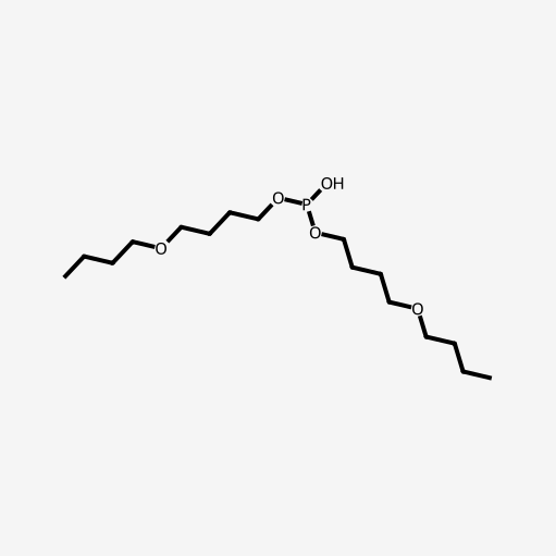 CCCCOCCCCOP(O)OCCCCOCCCC